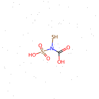 O=C(O)N(S)S(=O)(=O)O